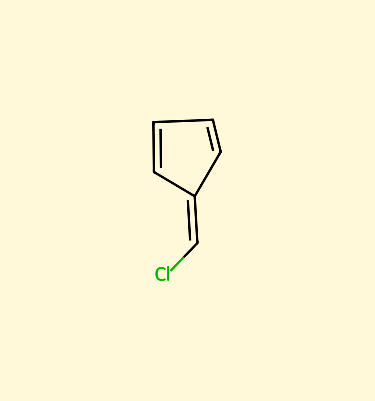 ClC=C1C=CC=C1